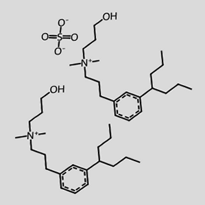 CCCC(CCC)c1cccc(CCC[N+](C)(C)CCCO)c1.CCCC(CCC)c1cccc(CCC[N+](C)(C)CCCO)c1.O=S(=O)([O-])[O-]